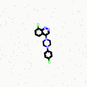 Clc1ccc(N2CCN(c3cnnc4c(Cl)cccc34)CC2)cc1